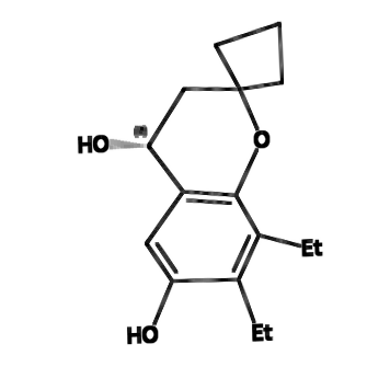 CCc1c(O)cc2c(c1CC)OC1(CCC1)C[C@H]2O